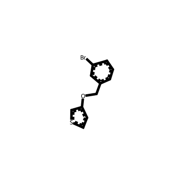 Brc1cccc(COc2ccsc2)c1